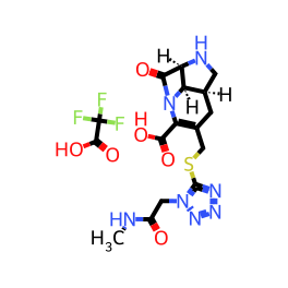 CNC(=O)Cn1nnnc1SCC1=C(C(=O)O)N2C(=O)[C@H]3NC[C@@H](C1)[C@H]32.O=C(O)C(F)(F)F